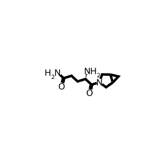 NC(=O)CC[C@H](N)C(=O)N1CC2CC2C1